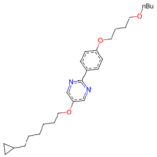 CCCCOCCCCOc1ccc(-c2ncc(OCCCCCCC3CC3)cn2)cc1